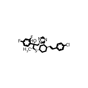 C[C@@H](S[C@H]1CC[C@H](C=Cc2ccc(Cl)cc2)CC1)[C@](O)(Cn1cncn1)c1ccc(F)cc1F